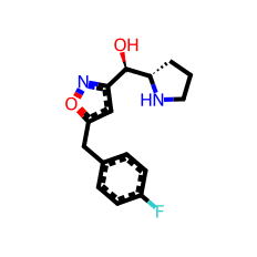 O[C@H](c1cc(Cc2ccc(F)cc2)on1)[C@@H]1CCCN1